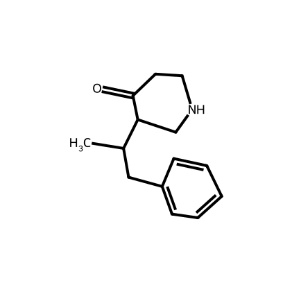 CC(Cc1ccccc1)C1CNCCC1=O